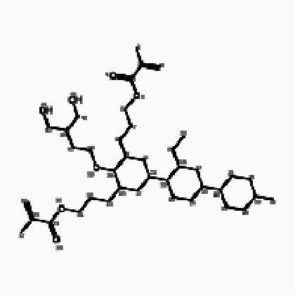 C=C(C)C(=O)OCCCC1CC(C2CCC(C3CCC(C)CC3)CC2CC)CC(CCCOC(=O)C(=C)C)C1OCCC(CO)CO